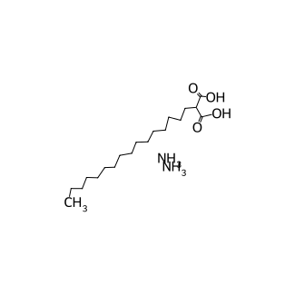 CCCCCCCCCCCCCCCCC(C(=O)O)C(=O)O.N.N